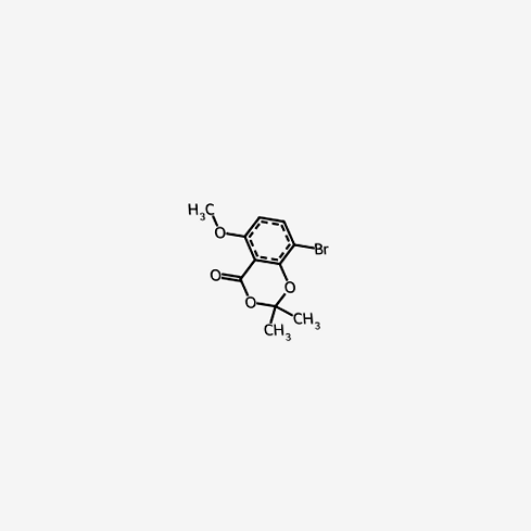 COc1ccc(Br)c2c1C(=O)OC(C)(C)O2